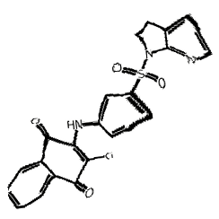 O=C1C(Cl)=C(Nc2cccc(S(=O)(=O)N3CCc4cccnc43)c2)C(=O)c2ccccc21